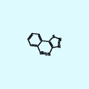 CC(C)(C)c1ccccc1-c1snnc1S